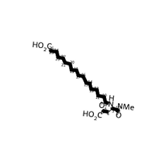 CNC(=O)[C@H](CCC(=O)O)NC(=O)CCCCCCCCCCCCCCCCC(=O)O